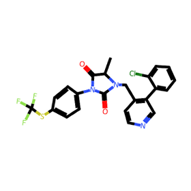 CC1C(=O)N(c2ccc(SC(F)(F)F)cc2)C(=O)N1Cc1ccncc1-c1ccccc1Cl